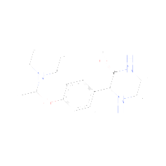 CCN(CC)C(C)Oc1ccc(C2NCCNC2=O)cc1